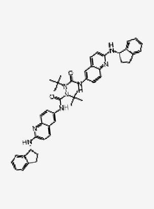 CC(C)(C)N(C(=O)Nc1ccc2nc(N[C@@H]3CCc4ccccc43)ccc2c1)N(C(=O)Nc1ccc2nc(N[C@@H]3CCc4ccccc43)ccc2c1)C(C)(C)C